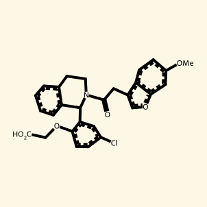 COc1ccc2c(CC(=O)N3CCc4ccccc4C3c3cc(Cl)ccc3OCC(=O)O)coc2c1